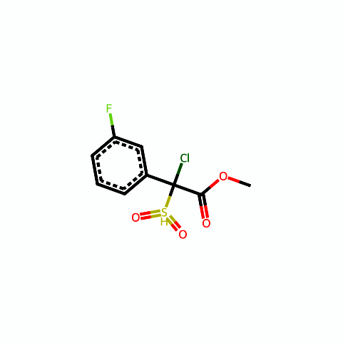 COC(=O)C(Cl)(c1cccc(F)c1)[SH](=O)=O